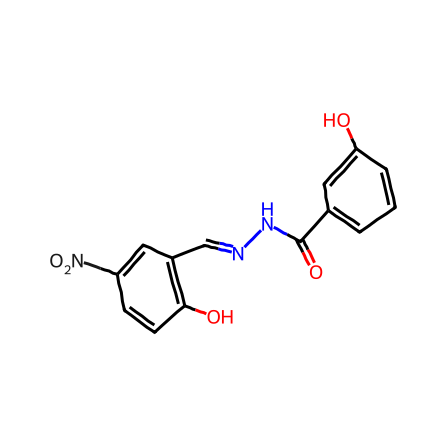 O=C(NN=Cc1cc([N+](=O)[O-])ccc1O)c1cccc(O)c1